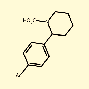 CC(=O)c1ccc(C2CCCCN2C(=O)O)cc1